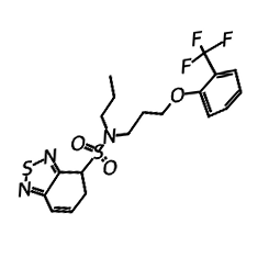 CCCN(CCCOc1ccccc1C(F)(F)F)S(=O)(=O)C1CC=Cc2nsnc21